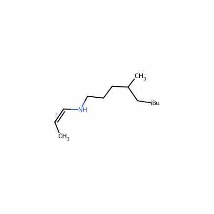 C/C=C\NCCCC(C)CC(C)CC